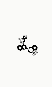 NC1(CNc2cc(N3CCS(O)(O)c4ccccc4C3)nc3ccccc23)COC1